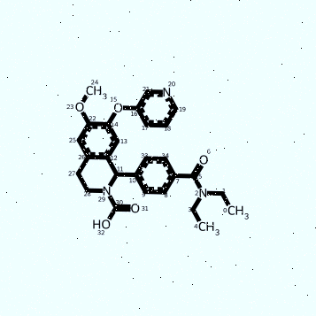 CCN(CC)C(=O)c1ccc(C2c3cc(Oc4cccnc4)c(OC)cc3CCN2C(=O)O)cc1